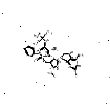 C[C@H](NP(=O)(Oc1ccccc1)OC1C[C@H](n2cnc3c(N)nc(Cl)nc32)O[C@@H]1CO)C(=O)OC(C)(C)C